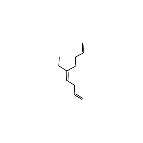 C=CCC=C(CC)CCC=C